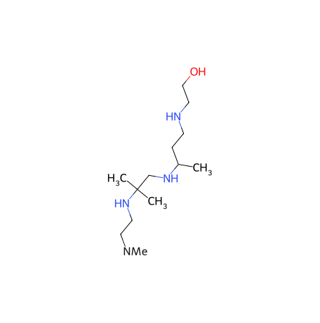 CNCCNC(C)(C)CNC(C)CCNCCO